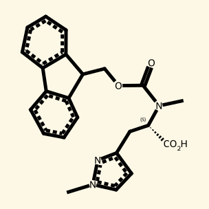 CN(C(=O)OCC1c2ccccc2-c2ccccc21)[C@@H](Cc1ccn(C)n1)C(=O)O